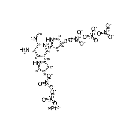 C=Nc1ncccc1N.O=[N+]([O-])[O-].O=[N+]([O-])[O-].O=[N+]([O-])[O-].O=[N+]([O-])[O-].O=[N+]([O-])[O-].[B+3].[Pt+2].c1cc[nH]c1.c1cc[nH]c1